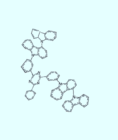 C1=CC2c3ccccc3N(c3cccc4c3c3ccccc3n4-c3cccc(-c4nc(-c5ccccc5)nc(-c5cccc(-n6c7ccccc7c7c(-n8c9ccccc9c9ccccc98)cccc76)c5)n4)c3)C2C=C1